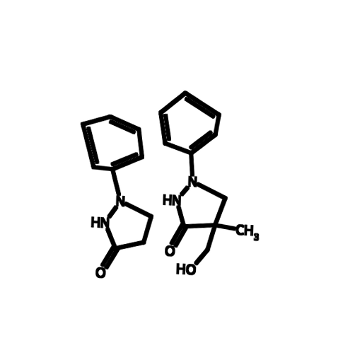 CC1(CO)CN(c2ccccc2)NC1=O.O=C1CCN(c2ccccc2)N1